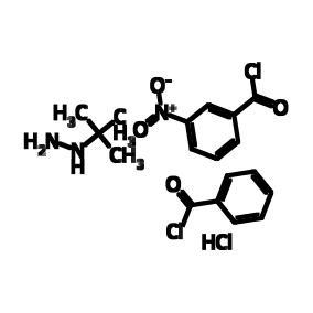 CC(C)(C)NN.Cl.O=C(Cl)c1cccc([N+](=O)[O-])c1.O=C(Cl)c1ccccc1